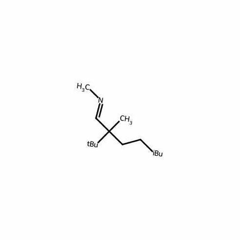 CCC(C)CCC(C)(/C=N/C)C(C)(C)C